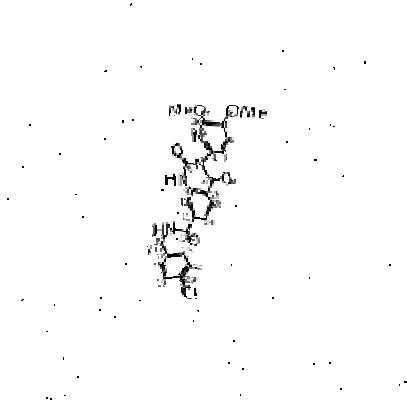 COc1ccc(-n2c(=O)[nH]c3cc(C(=O)N[C@@H](C)c4ccc(Cl)cc4)ccc3c2=O)nc1OC